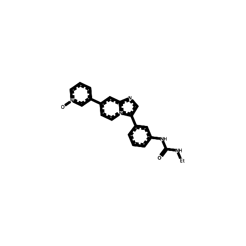 CCNC(=O)Nc1cccc(-c2cnc3cc(-c4ccc[n+]([O-])c4)ccn23)c1